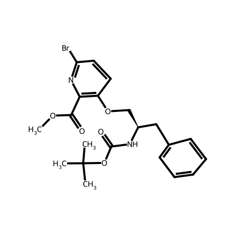 COC(=O)c1nc(Br)ccc1OC[C@@H](Cc1ccccc1)NC(=O)OC(C)(C)C